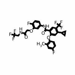 Cc1cc(F)ccc1Oc1cc(C2CC2)c(C(F)(F)F)cc1C(=O)Nc1ccc(F)c(OCC(=O)NCC(F)(F)F)c1